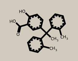 Cc1ccccc1C(C)(c1ccc(O)c(C(=O)O)c1)c1ccccc1C